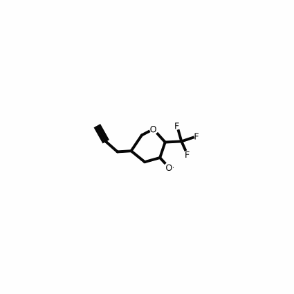 C#CCC1COC(C(F)(F)F)C([O])C1